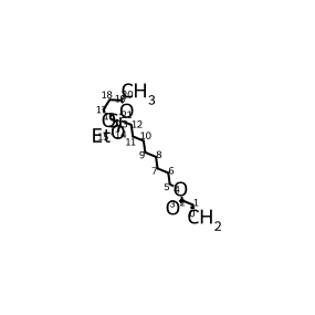 C=CC(=O)OCCCCCCCC[Si]1(OCC)OCCC(C)O1